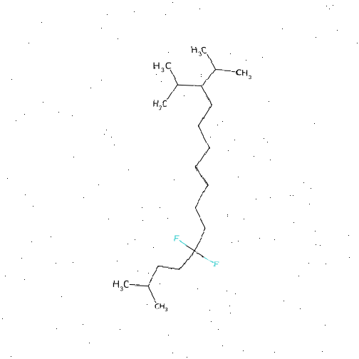 CC(C)CCC(F)(F)CCCCCCCC(C(C)C)C(C)C